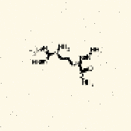 N=NC(=NN)N(N)CCC[C@H](N=NN)C(=O)ON